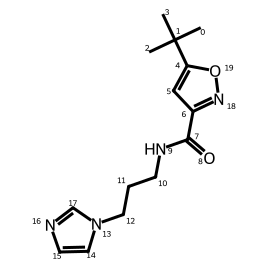 CC(C)(C)c1cc(C(=O)NCCCn2ccnc2)no1